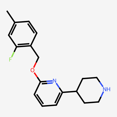 Cc1ccc(COc2cccc(C3CCNCC3)n2)c(F)c1